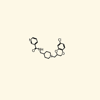 O=C(NCC1CCN(CC2COc3ccc(Cl)cc3O2)CC1)c1cccnc1